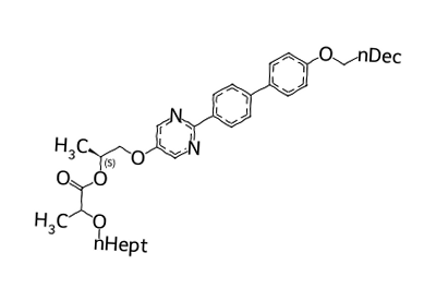 CCCCCCCCCCCOc1ccc(-c2ccc(-c3ncc(OC[C@H](C)OC(=O)C(C)OCCCCCCC)cn3)cc2)cc1